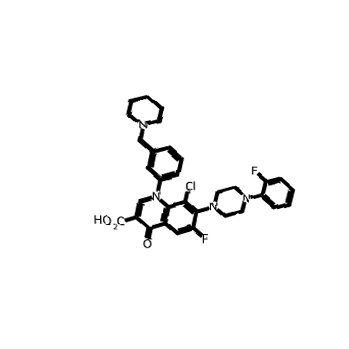 O=C(O)c1cn(-c2cccc(CN3CCCCC3)c2)c2c(Cl)c(N3CCN(c4ccccc4F)CC3)c(F)cc2c1=O